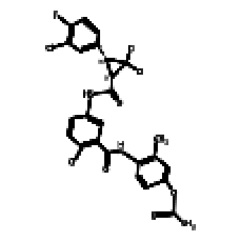 Cc1cc(OC(N)=O)ccc1NC(=O)c1cc(NC(=O)[C@H]2[C@H](c3ccc(F)c(Cl)c3)C2(Cl)Cl)ccc1Cl